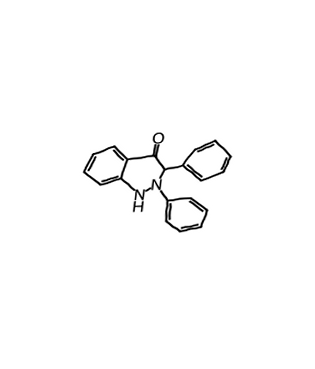 O=C1c2ccccc2NN(c2ccccc2)C1c1ccccc1